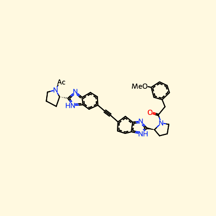 COc1cccc(CC(=O)N2CCC[C@H]2c2nc3cc(C#Cc4ccc5nc([C@@H]6CCCN6C(C)=O)[nH]c5c4)ccc3[nH]2)c1